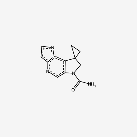 NC(=O)N1CC2(CC2)c2c1cnc1ccnn21